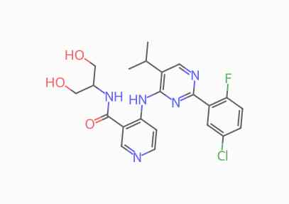 CC(C)c1cnc(-c2cc(Cl)ccc2F)nc1Nc1ccncc1C(=O)NC(CO)CO